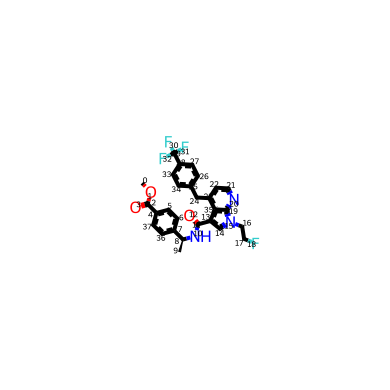 COC(=O)c1ccc([C@H](C)NC(=O)c2cn(CCF)c3nccc(Cc4ccc(C(F)(F)F)cc4)c23)cc1